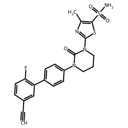 C#Cc1ccc(F)c(-c2ccc(N3CCCN(c4nc(C)c(S(N)(=O)=O)s4)C3=O)cc2)c1